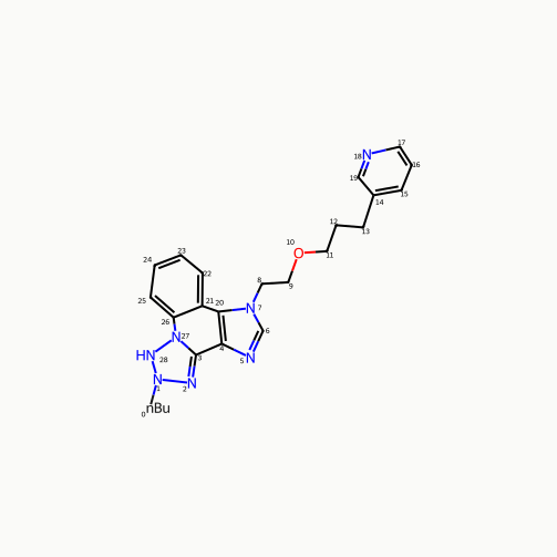 CCCCN1N=C2c3ncn(CCOCCCc4cccnc4)c3-c3ccccc3N2N1